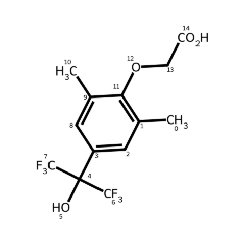 Cc1cc(C(O)(C(F)(F)F)C(F)(F)F)cc(C)c1OCC(=O)O